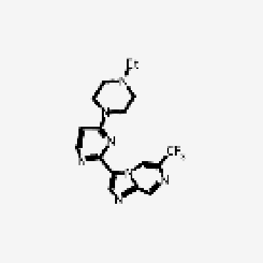 CCN1CCN(c2ccnc(-c3cnc4cnc(C(F)(F)F)cn34)n2)CC1